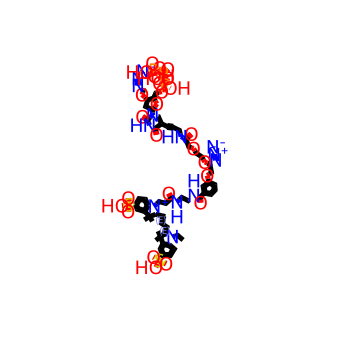 CCN1/C(=C/C=C/C2=[N+](CCC(=O)NCCNC(=O)c3cccc(OCC(N=[N+]=[N-])OCCOCC(=O)NCC#CC4CN(C5CC(OCN=[N+]=[N-])C(COP(=O)(O)OP(=O)(O)OP(=O)(O)O)O5)C(=O)NC4=O)c3)c3ccc(S(=O)(=O)O)cc3C2(C)C)C(C)(C)c2cc(S(=O)(=O)O)ccc21